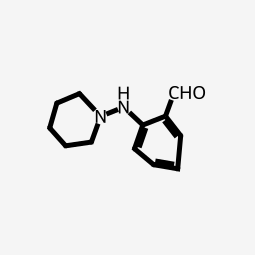 O=Cc1ccccc1NN1CCCCC1